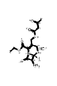 CCOC(=O)C1=C(COC(=O)CC(C)=O)CS[C@@H]2C(N)C(=O)N12.Cl